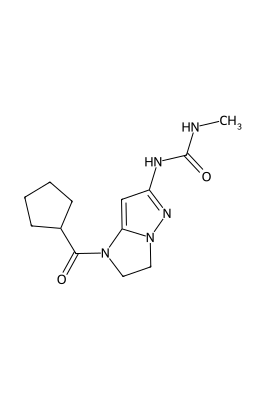 CNC(=O)Nc1cc2n(n1)CCN2C(=O)C1CCCC1